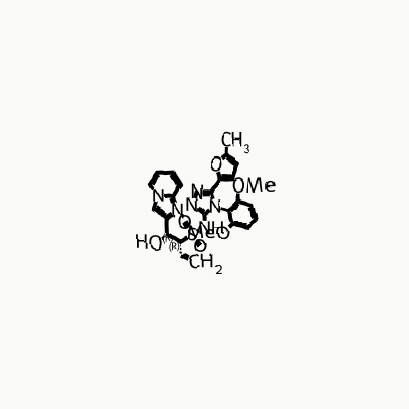 C=C[C@H]([C@H](O)c1cn2ccccc2n1)S(=O)(=O)Nc1nnc(-c2ccc(C)o2)n1-c1c(OC)cccc1OC